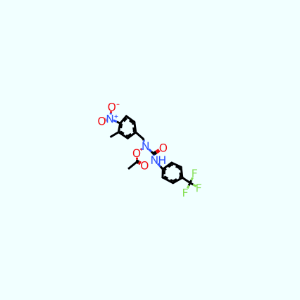 CC(=O)ON(Cc1ccc([N+](=O)[O-])c(C)c1)C(=O)Nc1ccc(C(F)(F)F)cc1